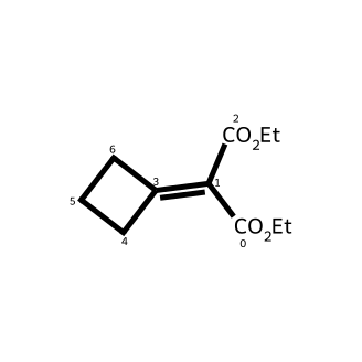 CCOC(=O)C(C(=O)OCC)=C1CCC1